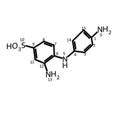 Nc1ccc(Nc2ccc(S(=O)(=O)O)cc2N)cc1